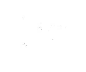 CC(C)(C)OC(=O)N[C@@]1(Cc2ccccc2)CNCC[C@@H]1c1ccccc1F